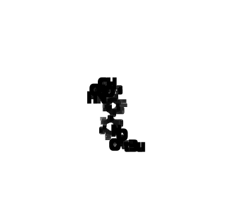 CC(C)(C)C(=O)ON1CCCC(c2cccc(NS(C)(=O)=O)c2)C1